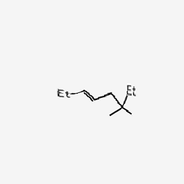 CCC=CCC(C)(C)CC